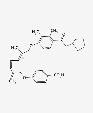 C=C(/C=C\C=C(/C)COc1ccc(C(=O)CC2CCCC2)c(C)c1C)COc1ccc(C(=O)O)cc1